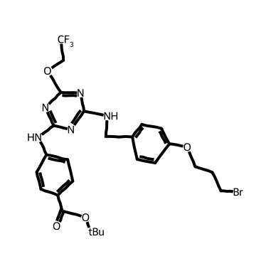 CC(C)(C)OC(=O)c1ccc(Nc2nc(NCc3ccc(OCCCBr)cc3)nc(OCC(F)(F)F)n2)cc1